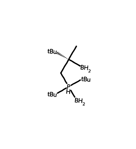 B[C@](C)(C[PH](B)(C(C)(C)C)C(C)(C)C)C(C)(C)C